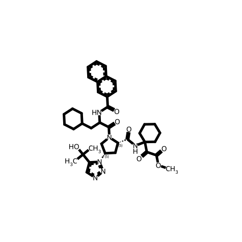 COC(=O)C(=O)C1(NC(=O)[C@@H]2C[C@H](n3nncc3C(C)(C)O)CN2C(=O)C(CC2CCCCC2)NC(=O)c2ccc3ccccc3c2)CCCCC1